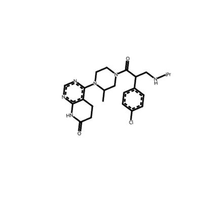 CC(C)NCC(C(=O)N1CCN(c2ncnc3c2CCC(=O)N3)C(C)C1)c1ccc(Cl)cc1